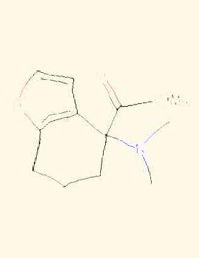 COC(=O)C1(N(C)C)CCCc2occc21